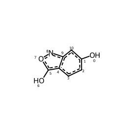 Oc1ccc2c(O)onc2c1